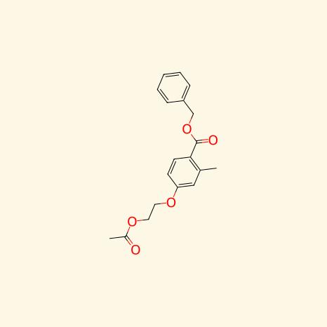 CC(=O)OCCOc1ccc(C(=O)OCc2ccccc2)c(C)c1